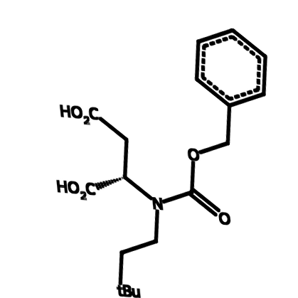 CC(C)(C)CCN(C(=O)OCc1ccccc1)[C@@H](CC(=O)O)C(=O)O